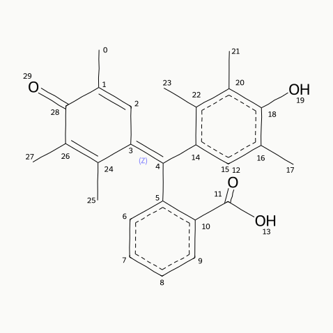 CC1=C/C(=C(/c2ccccc2C(=O)O)c2cc(C)c(O)c(C)c2C)C(C)=C(C)C1=O